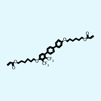 C=CC(=O)OCCCCCCOc1ccc(-c2ccc(-c3ccc(OCCCCCCOC(=O)C=C)c(C(F)(F)F)c3C(F)(F)F)cc2)cc1